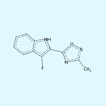 Cc1noc(-c2[nH]c3ccccc3c2F)n1